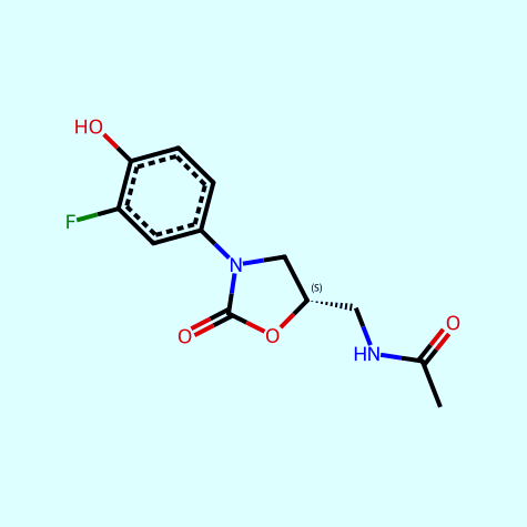 CC(=O)NC[C@H]1CN(c2ccc(O)c(F)c2)C(=O)O1